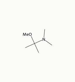 COC(C)(C)N(C)C